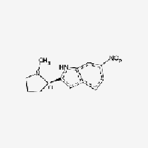 CN1CCC[C@@H]1c1cc2ccc([N+](=O)[O-])cc2[nH]1